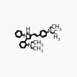 CCN(CC)c1ccc(C=CC2=CC(c3ccccc3N(CC)CC)N(c3ccccc3)N2)cc1